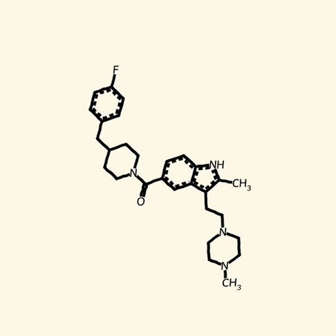 Cc1[nH]c2ccc(C(=O)N3CCC(Cc4ccc(F)cc4)CC3)cc2c1CCN1CCN(C)CC1